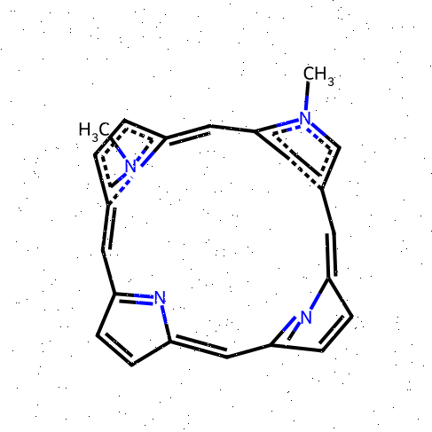 Cn1cc2cc1/C=c1/cc/c(n1C)=C/C1=NC(=C\C3=NC(=C\2)/C=C3)/C=C1